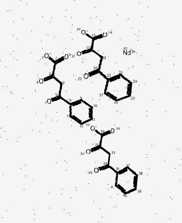 O=C([O-])C(=O)CC(=O)c1ccccc1.O=C([O-])C(=O)CC(=O)c1ccccc1.O=C([O-])C(=O)CC(=O)c1ccccc1.[Nd+3]